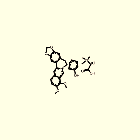 COc1ccc2cc3[n+](cc2c1OC)CCc1cc2c(cc1-3)OCO2.C[N+](C)(C)CC(=O)O.Cl.Oc1ccccc1